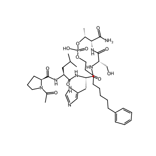 CC(=O)N1CCC[C@H]1C(=O)N[C@@H](CC(C)C)C(=O)N[C@@H](Cc1cnc[nH]1)C(=O)N[C@@H](CO)C(=O)N[C@@H](C(N)=O)[C@@H](C)OP(=O)(O)OCCCCCCCCc1ccccc1